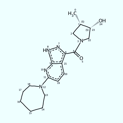 C[C@H]1CN(C(=O)c2n[nH]c3nc(N4CCCCCC4)ccc23)C[C@H]1O